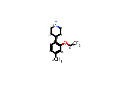 Cc1ccc(C2CCNCC2)c(OCC(F)(F)F)c1